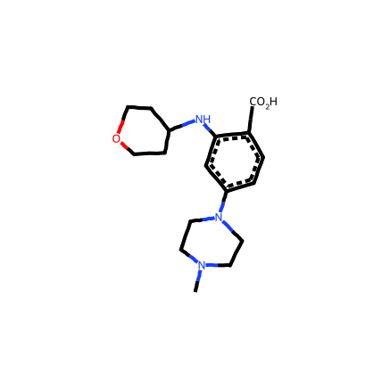 CN1CCN(c2ccc(C(=O)O)c(NC3CCOCC3)c2)CC1